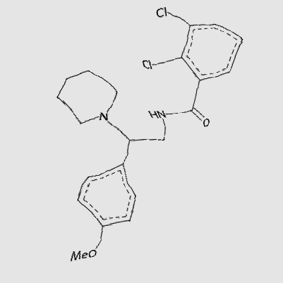 COc1ccc(C(CNC(=O)c2cccc(Cl)c2Cl)N2CCCCC2)cc1